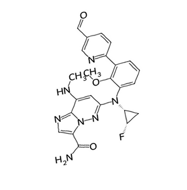 CNc1cc(N(c2cccc(-c3ccc(C=O)cn3)c2OC)[C@@H]2C[C@@H]2F)nn2c(C(N)=O)cnc12